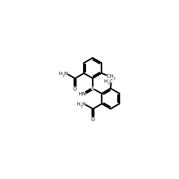 Cc1cccc(C(N)=O)c1S(=N)c1c(C)cccc1C(N)=O